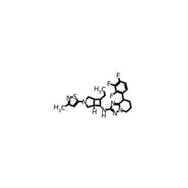 CCC1C2CN(c3cc(C)ns3)C[C@H]2[C@@H]1Nc1nc2n(n1)CCCC2c1ccc(F)c(F)c1F